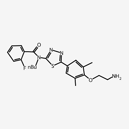 CCCCN(C(=O)c1ccccc1F)c1nnc(-c2cc(C)c(OCCN)c(C)c2)s1